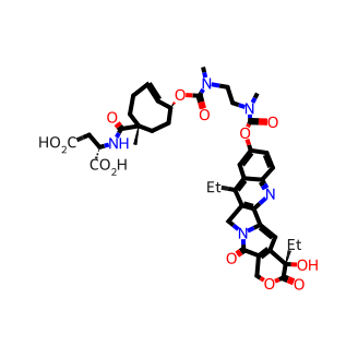 CCc1c2c(nc3ccc(OC(=O)N(C)CCN(C)C(=O)O[C@H]4/C=C/CC[C@@](C)(C(=O)N[C@@H](CC(=O)O)C(=O)O)CC4)cc13)-c1cc3c(c(=O)n1C2)COC(=O)[C@]3(O)CC